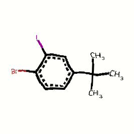 CC(C)(C)c1ccc(Br)c(I)c1